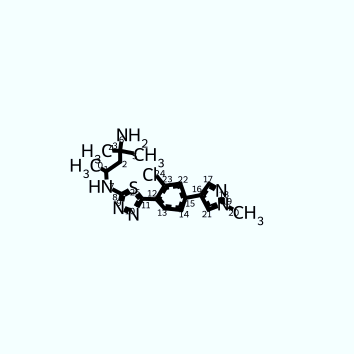 CC(CC(C)(C)N)Nc1nnc(-c2ccc(-c3cnn(C)c3)cc2Cl)s1